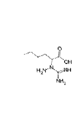 CCCCC(C(=O)O)N(N)C(=N)N